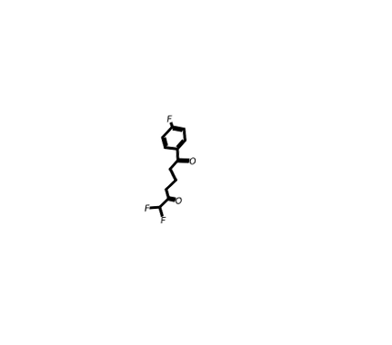 O=C(CCCC(=O)C(F)F)c1ccc(F)cc1